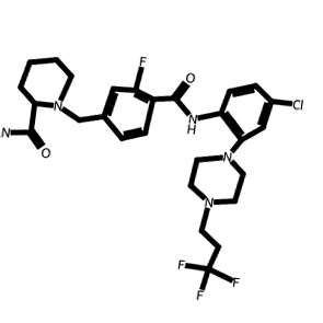 NC(=O)C1CCCCN1Cc1ccc(C(=O)Nc2ccc(Cl)cc2N2CCN(CCC(F)(F)F)CC2)c(F)c1